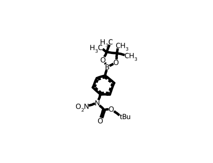 CC(C)(C)OC(=O)N(c1ccc(B2OC(C)(C)C(C)(C)O2)cc1)[N+](=O)[O-]